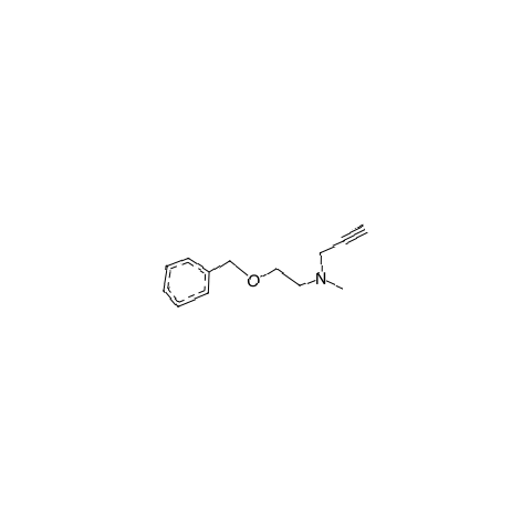 C#CCN(C)CCOCc1ccccc1